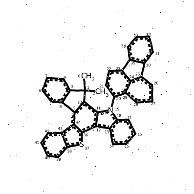 CC1(C)c2ccccc2-c2c1c1c(c3ccccc3n1-c1ccc3c4c(cccc14)-c1ccccc1-3)c1sc3ccccc3c21